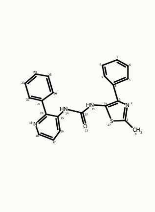 Cc1nc(-c2ccccc2)c(NC(=O)Nc2cccnc2-c2ccccc2)s1